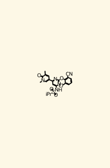 Cc1cc(-c2cc(NS(=O)(=O)C(C)C)nc(Oc3c(Cl)cccc3C#N)n2)cn(C)c1=O